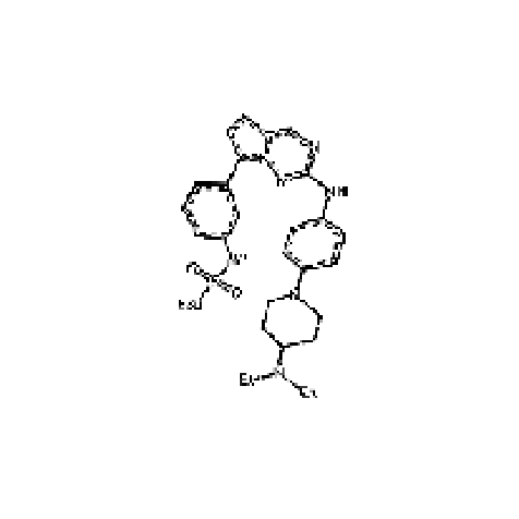 CCN(CC)C1CCN(c2ccc(Nc3ncc4ccc(-c5cccc(NS(=O)(=O)C(C)(C)C)c5)n4n3)cc2)CC1